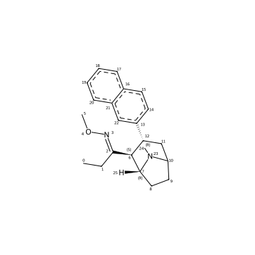 CCC(=NOC)[C@@H]1[C@H]2CCC(C[C@H]1c1ccc3ccccc3c1)N2C